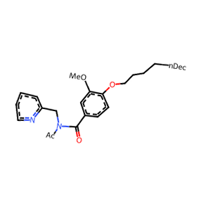 CCCCCCCCCCCCCCOc1ccc(C(=O)N(Cc2ccccn2)C(C)=O)cc1OC